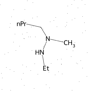 CCCCN(C)NCC